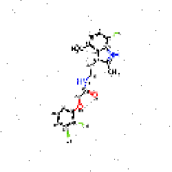 Cc1[nH]c2c(F)ccc(C)c2c1CCNC(=O)COc1cccc(F)c1F